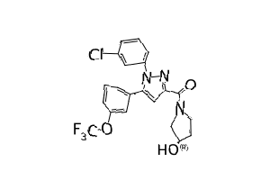 O=C(c1cc(-c2cccc(OC(F)(F)F)c2)n(-c2cccc(Cl)c2)n1)N1CC[C@@H](O)C1